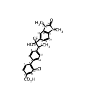 CC(c1ccc(-c2ccc(C(=O)O)cc2Cl)cc1)C(O)(c1ccc2c(c1)n(C)c(=O)n2C)C(F)(F)F